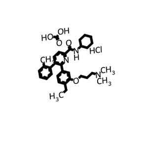 CCc1ccc(-c2nc(C(=O)NC3CCCCC3)ccc2-c2ccccc2C)cc1OCCCN(C)C.Cl.O=C(O)O